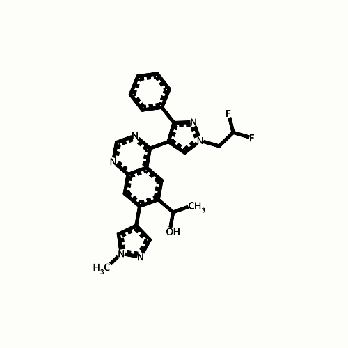 CC(O)c1cc2c(-c3cn(CC(F)F)nc3-c3ccccc3)ncnc2cc1-c1cnn(C)c1